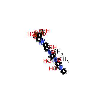 COc1cc(N=Nc2ccccc2)c(CO)cc1N=Nc1cc(OC)c(N=Nc2ccc3cc(-n4nc5ccc6c(S(=O)(=O)O)cc(S(=O)(=O)O)cc6c5n4)ccc3c2O)cc1CO